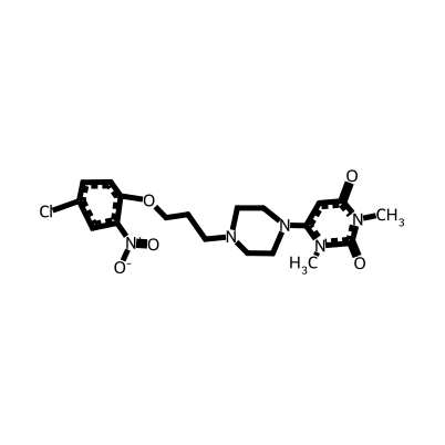 Cn1c(N2CCN(CCCOc3ccc(Cl)cc3[N+](=O)[O-])CC2)cc(=O)n(C)c1=O